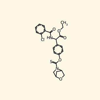 CCOC(=O)C(NC(=O)c1ccccc1Cl)c1ccc(OC(=S)N2CC3CC2CO3)cc1